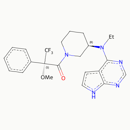 CCN(c1ncnc2[nH]ccc12)[C@@H]1CCCN(C(=O)[C@@](OC)(c2ccccc2)C(F)(F)F)C1